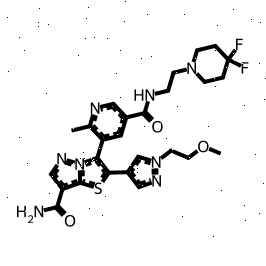 COCCn1cc(-c2sc3c(C(N)=O)cnn3c2-c2cc(C(=O)NCCN3CCC(F)(F)CC3)cnc2C)cn1